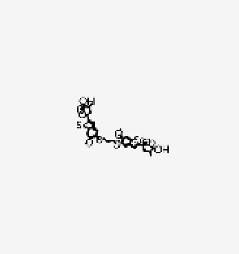 COc1cc2[se]c(C(=O)CC(C)C(=O)O)cc2cc1OCCCOc1cc2cc(C(=O)CC(C)C(=O)O)[se]c2cc1OC